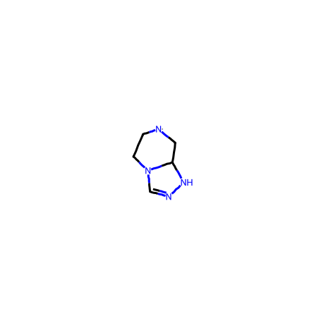 C1=NNC2C[N]CCN12